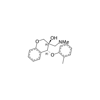 CNC[C@@]1(O)COc2ccccc2[C@H]1Oc1ccccc1C